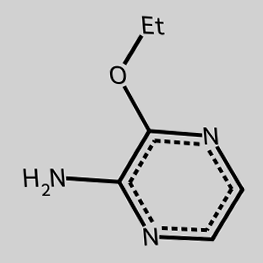 CCOc1nccnc1N